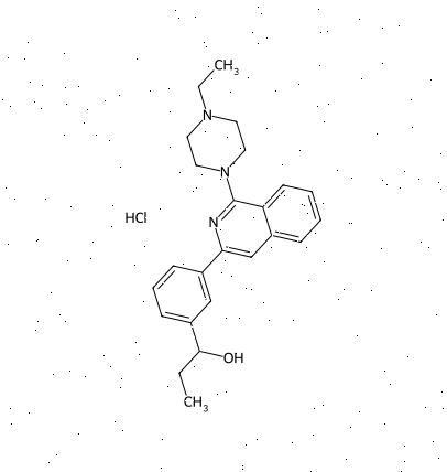 CCC(O)c1cccc(-c2cc3ccccc3c(N3CCN(CC)CC3)n2)c1.Cl